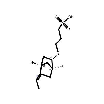 C/C=C1\C[C@H]2C[C@@H]1C[C@@H]2SCCCS(=O)(=O)O